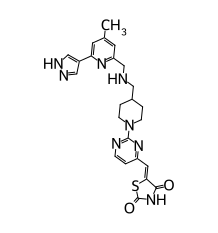 Cc1cc(CNCC2CCN(c3nccc(/C=C4\SC(=O)NC4=O)n3)CC2)nc(-c2cn[nH]c2)c1